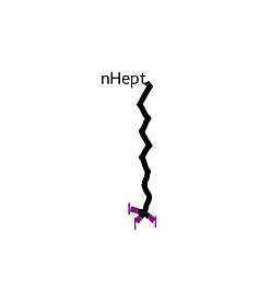 CCCCCCCCCCCCCCCCC(I)(I)I